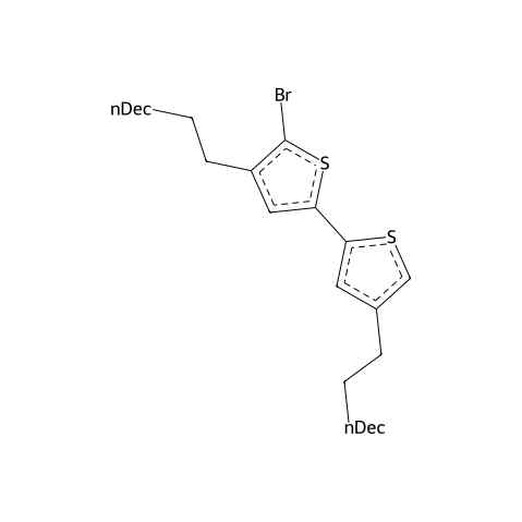 CCCCCCCCCCCCc1csc(-c2cc(CCCCCCCCCCCC)c(Br)s2)c1